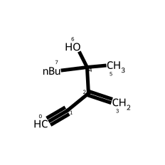 C#CC(=C)C(C)(O)CCCC